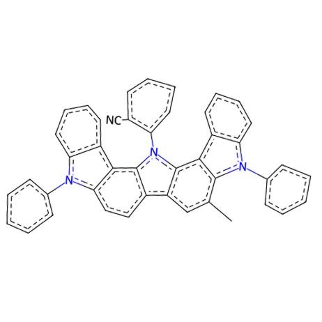 Cc1cc2c3ccc4c(c5ccccc5n4-c4ccccc4)c3n(-c3ccccc3C#N)c2c2c3ccccc3n(-c3ccccc3)c12